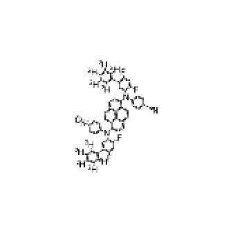 [2H]c1c([2H])c([2H])c(-c2cc(N(c3ccc(C#N)cc3)c3ccc4ccc5c(N(c6ccc([N+]#[C-])cc6)c6cc(-c7c([2H])c([2H])c([2H])c([2H])c7[2H])c(F)cc6F)ccc6ccc3c4c65)c(F)cc2F)c([2H])c1[2H]